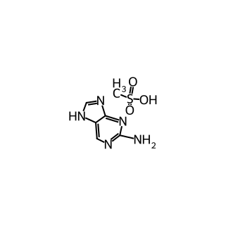 CS(=O)(=O)O.Nc1ncc2[nH]cnc2n1